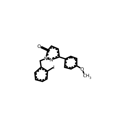 COc1ccc(-c2ccc(=O)n(Cc3ccccc3I)n2)cc1